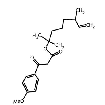 C=CC(C)CCCC(C)(C)OC(=O)CC(=O)c1ccc(OC)cc1